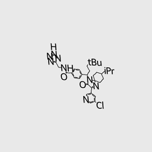 CC(C)C1CCC2(CC1)N=C(c1cncc(Cl)c1)C(=O)N2C(CCC(C)(C)C)c1ccc(C(=O)NCc2nn[nH]n2)cc1